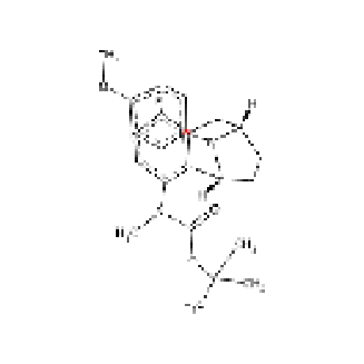 COc1ccc(N2[C@H]3CC[C@@H]2c2c(N(C)C(=O)OC(C)(C)C)cnc(F)c2C3)cc1